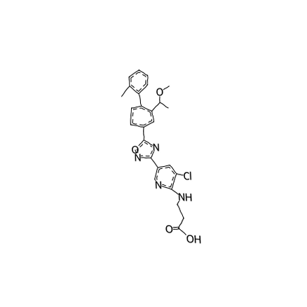 COC(C)c1cc(-c2nc(-c3cnc(NCCC(=O)O)c(Cl)c3)no2)ccc1-c1ccccc1C